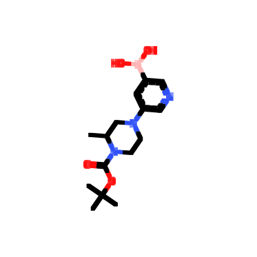 CC1CN(c2cncc(B(O)O)c2)CCN1C(=O)OC(C)(C)C